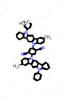 C/C=C\C(=C/C)N1C2=Cc3c(n(-c4cc(C#N)c(-n5c6ccc(C)cc6c6cc7c(cc65)c5ccccc5n7-c5ccccc5)cc4C#N)c4ccc(C)cc34)CC2C2=C1C=CCC2